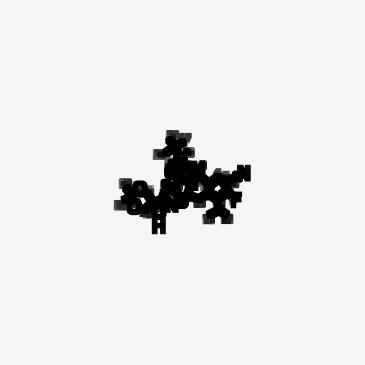 CC(C)c1cc(C#N)c(F)c(C(C)C)c1CC(=O)N=S(=O)(N[Si](C)(C)C(C)(C)C)c1cnc(C2(O)COC(C)(C)OC2)s1